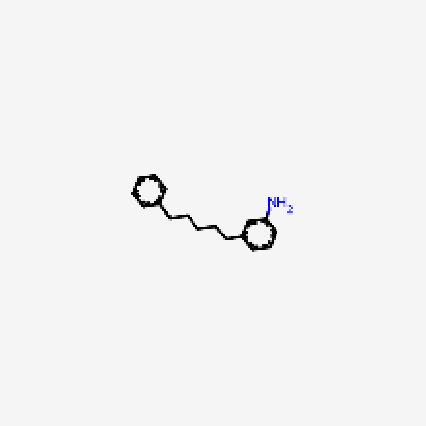 Nc1cccc(CCCCCc2ccccc2)c1